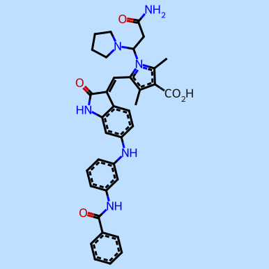 Cc1c(C(=O)O)c(C)n(C(CC(N)=O)N2CCCC2)c1C=C1C(=O)Nc2cc(Nc3cccc(NC(=O)c4ccccc4)c3)ccc21